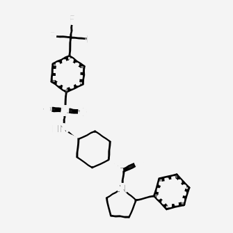 O=C([C@H]1CC[C@H](NS(=O)(=O)c2ccc(C(F)(F)F)cc2)CC1)N1CCCC1c1ccccc1